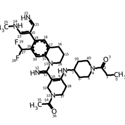 CCC(=O)N1CCC(NC2=C(C(=N)N3CCCc4cc(/C(C=N)=C/NC)c(C(F)F)cc43)CN(C(C)=O)CC2)CC1